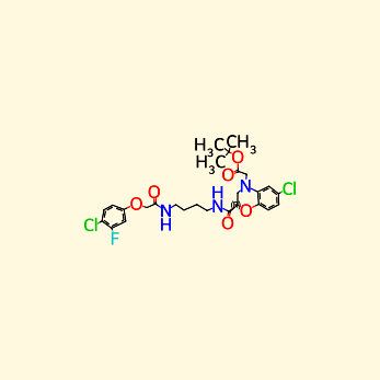 CC(C)(C)OC(=O)CN1C[C@H](C(=O)NCCCCNC(=O)COc2ccc(Cl)c(F)c2)Oc2ccc(Cl)cc21